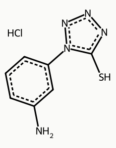 Cl.Nc1cccc(-n2nnnc2S)c1